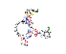 CC(C)(C)OC(=O)NC1CCCCC/C=C\C2CC2(C(=O)NS(=O)(=O)c2ccc(Cl)s2)NC(=O)C2CC(OC(=O)N3Cc4cccc(Cl)c4C3)CN2C1=O